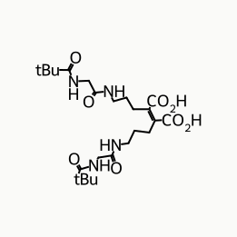 CC(C)(C)C(=O)NCC(=O)NCCCC(C(=O)O)=C(CCCNC(=O)CNC(=O)C(C)(C)C)C(=O)O